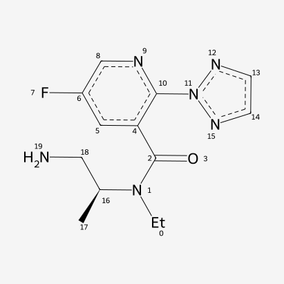 CCN(C(=O)c1cc(F)cnc1-n1nccn1)[C@@H](C)CN